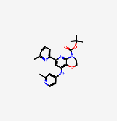 Cc1cc(Nc2cc(-c3cccc(C)n3)nc3c2OCCN3C(=O)OC(C)(C)C)ccn1